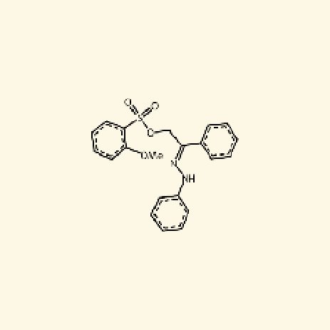 COc1ccccc1S(=O)(=O)OCC(=NNc1ccccc1)c1ccccc1